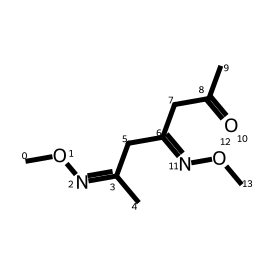 CON=C(C)CC(CC(C)=O)=NOC